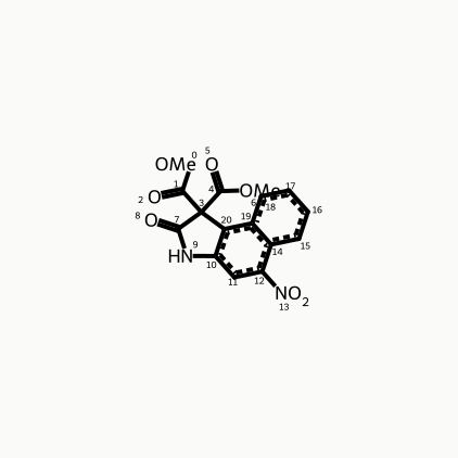 COC(=O)C1(C(=O)OC)C(=O)Nc2cc([N+](=O)[O-])c3ccccc3c21